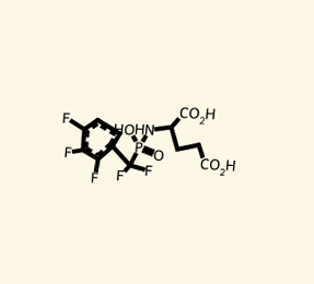 O=C(O)CCC(NP(=O)(O)C(F)(F)c1ccc(F)c(F)c1F)C(=O)O